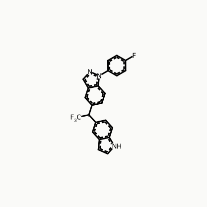 Fc1ccc(-n2ncc3cc([C](c4ccc5[nH]ccc5c4)C(F)(F)F)ccc32)cc1